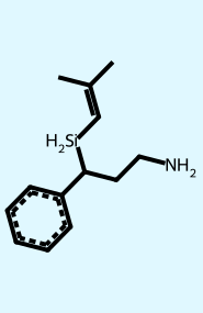 CC(C)=C[SiH2]C(CCN)c1ccccc1